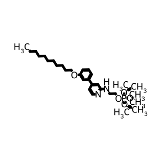 CCCCCCCCCCCOc1cccc(-c2ccnc(NCCOP(=O)(OC(C)(C)C)OC(C)(C)C)c2)c1